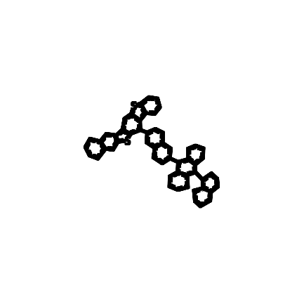 c1ccc2cc3c(cc2c1)sc1c(-c2ccc4cc(-c5c6ccccc6c(-c6cccc7ccccc67)c6ccccc56)ccc4c2)c2c(cc13)sc1ccccc12